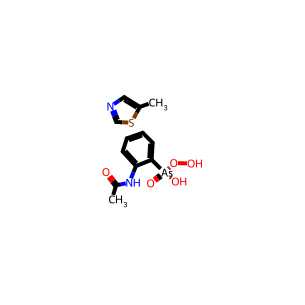 CC(=O)Nc1ccccc1[As](=O)(O)OO.Cc1cncs1